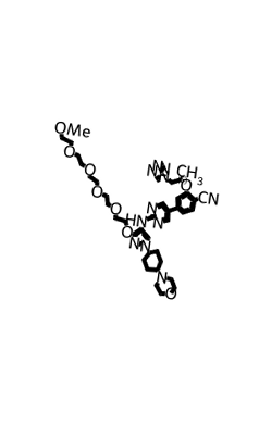 COCCOCCOCCOCCOCCOc1nn(C2CCC(N3CCOCC3)CC2)cc1Nc1ncc(-c2ccc(C#N)c(O[C@@H](C)Cn3cnnn3)c2)cn1